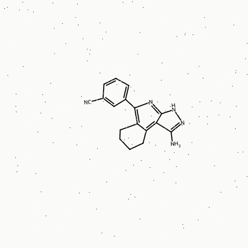 N#Cc1cccc(-c2nc3[nH]nc(N)c3c3c2CCCC3)c1